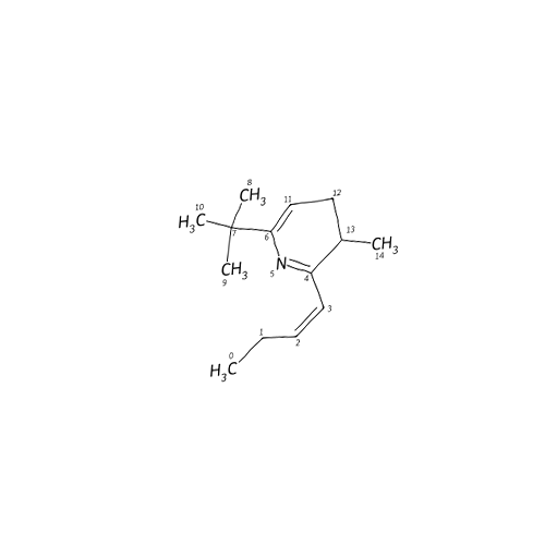 CC/C=C\C1=NC(C(C)(C)C)=CCC1C